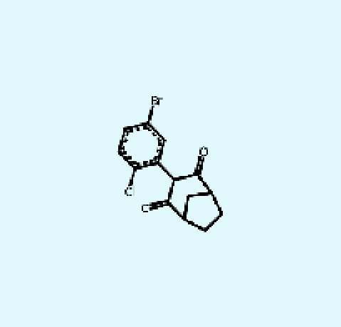 O=C1C2CCC(C2)C(=O)C1c1cc(Br)ccc1Cl